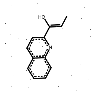 CC=C(O)c1ccc2ccccc2n1